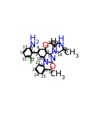 CC1OC2N=C3c4c(cc(-c5c(N)cccc5F)cc4N2c2ccccc21)OC[C@@H]1CN[C@H](C)CN31